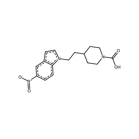 O=C(O)N1CCC(CCn2ccc3cc([N+](=O)[O-])ccc32)CC1